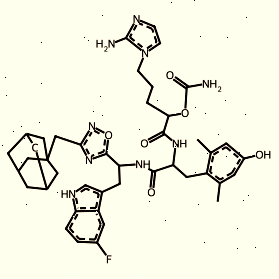 Cc1cc(O)cc(C)c1CC(NC(=O)C(CCCn1ccnc1N)OC(N)=O)C(=O)NC(Cc1c[nH]c2ccc(F)cc12)c1nc(CC23CC4CC(CC(C4)C2)C3)no1